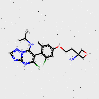 Cc1cc(OCCC2(N)COC2)cc(F)c1-c1c(Cl)nc2ncnn2c1NC(C)C(F)(F)F